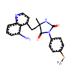 CC1(Cc2ccnc3cccc(N)c23)NC(=O)N(c2ccc(SC(F)(F)F)cc2)C1=O